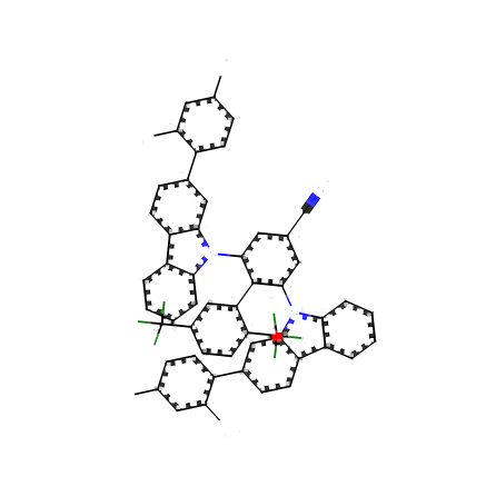 Cc1ccc(-c2ccc3c4ccccc4n(-c4cc(C#N)cc(-n5c6ccccc6c6ccc(-c7ccc(C)cc7C)cc65)c4-c4cc(C(F)(F)F)ccc4C(F)(F)F)c3c2)c(C)c1